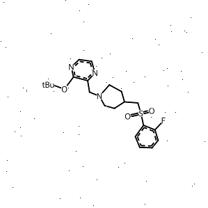 CC(C)(C)Oc1nccnc1CN1CCC(CS(=O)(=O)c2ccccc2F)CC1